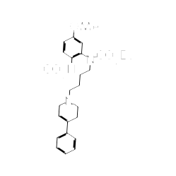 CCOC(=O)N(CCCCN1CC=C(c2ccccc2)CC1)c1cc(OC)ccc1C(=O)O